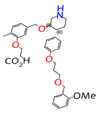 COc1ccccc1COCCCOc1ccc([C@H]2CCNC[C@@H]2OCc2ccc(C)c(OCCC(=O)O)c2)cc1